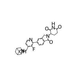 O=C1CCC(N2Cc3cc(-c4nccc(CN5CC6CC(C5)C6O)c4F)ccc3C2=O)C(=O)N1